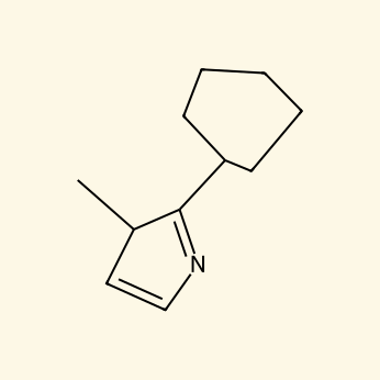 CC1C=CN=C1C1CCCCC1